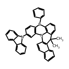 CC1(C)c2cccc3c2N(c2cc(-n4c5ccccc5c5ccccc54)ccc2B3c2ccccc2)c2ccc3ccccc3c21